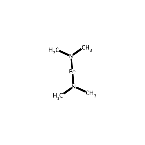 C[N](C)[Be][N](C)C